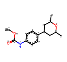 CC1CC(c2ccc(NC(=O)OC(C)(C)C)cc2)CC(C)O1